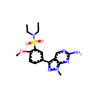 CCN(CC)S(=O)(=O)c1cc(-c2nn(C)c3nc(N)ncc23)ccc1OC